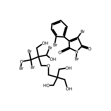 O=C1C(Br)=C(c2ccccc2Br)C(=O)N1Br.OCC(CO)(CO)COCC(CO)(C(O)Br)C(Br)(Br)OBr